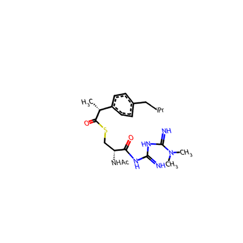 CC(=O)N[C@H](CSC(=O)[C@H](C)c1ccc(CC(C)C)cc1)C(=O)NC(=N)NC(=N)N(C)C